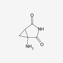 NC12CC1C(=O)NC2=O